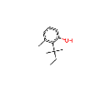 CCC(C)(C)c1c(C)cccc1O